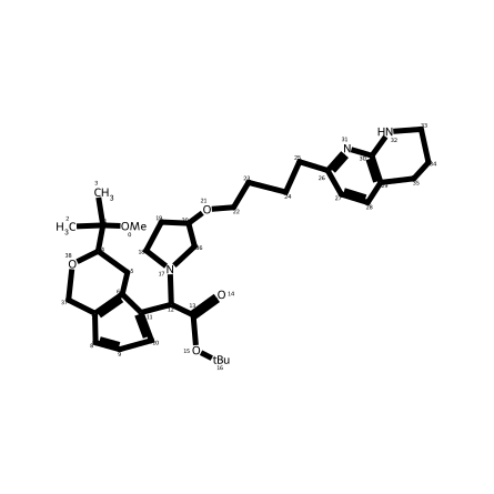 COC(C)(C)C1Cc2c(cccc2C(C(=O)OC(C)(C)C)N2CCC(OCCCCc3ccc4c(n3)NCCC4)C2)CO1